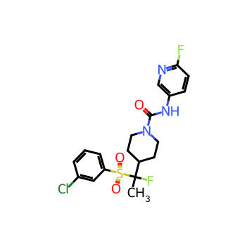 CC(F)(C1CCN(C(=O)Nc2ccc(F)nc2)CC1)S(=O)(=O)c1cccc(Cl)c1